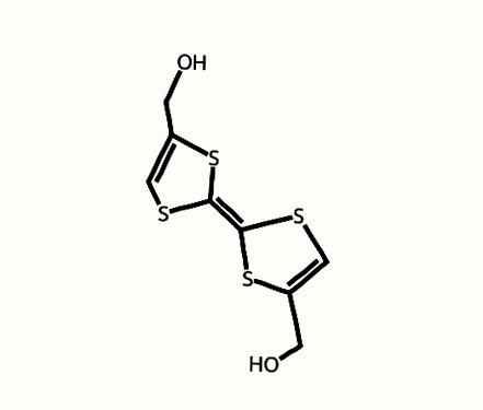 OCC1=CS/C(=C2/SC=C(CO)S2)S1